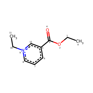 CCOC(=O)c1ccc[n+](CC)c1